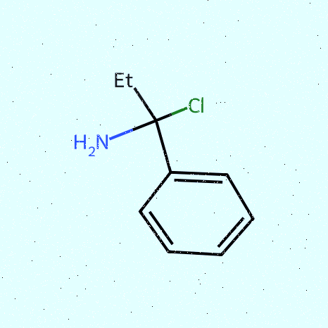 CCC(N)(Cl)c1ccccc1